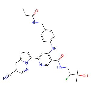 CCC(=O)NCc1ccc(Nc2cc(-c3ccc4cc(C#N)cnn34)ncc2C(=O)NCC(F)C(C)(C)O)cc1